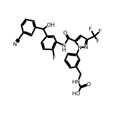 N#Cc1cccc(C(O)c2ccc(F)c(NC(=O)c3cc(C(F)(F)F)nn3-c3cccc(CNC(=O)O)c3)c2)c1